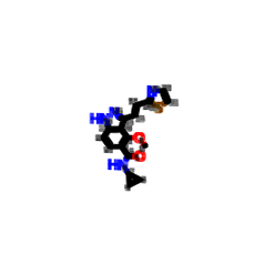 COc1c(C(=O)NC2CC2)ccc2[nH]nc(C=Cc3nccs3)c12